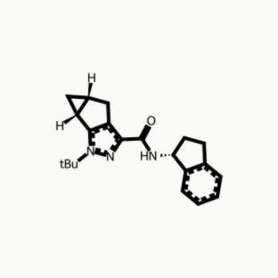 CC(C)(C)n1nc(C(=O)N[C@@H]2CCc3ccccc32)c2c1[C@@H]1C[C@@H]1C2